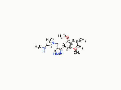 CNCCN(C)Cc1c[nH]nc1-c1cc(OC)c(CC(C)C)c(OC)c1